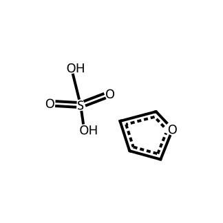 O=S(=O)(O)O.c1ccoc1